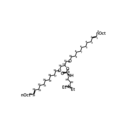 CCCCCCCCC=CCCCCCCCCOCC(COCCCCCCCCC=CCCCCCCCC)OC(=O)NCCN(CC)CC